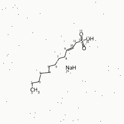 CCCCCCCCCC=CCS(=O)(=O)O.[NaH]